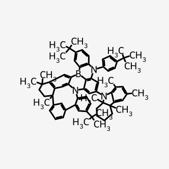 Cc1cc(C)c2c(c1)C1(C)CCCCC1(C)N2c1cc2c3c(c1)N1c4cc5c(cc4B3c3cc(C(C)(C)C)ccc3N2c2ccc(C(C)(C)C)cc2)C(C)(C)CCC5(C)c2cccc(c2)-c2cc(C(C)(C)C)ccc21